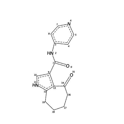 O=C(Nc1ccncc1)c1c[nH]c2c1C(=O)CCCC2